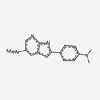 CNc1cnc2nc(-c3ccc(N(C)C)cc3)cn2c1